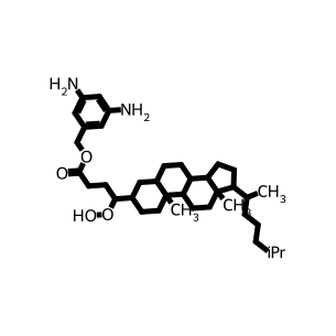 CC(C)CCCC(C)C1CCC2C3CCC4CC(C(CCC(=O)OCc5cc(N)cc(N)c5)OO)CCC4(C)C3CCC12C